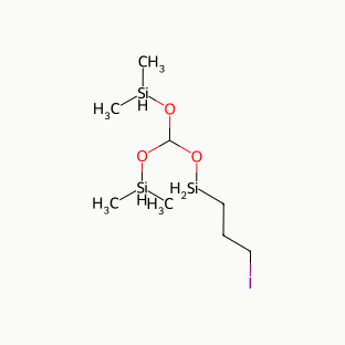 C[SiH](C)OC(O[SiH2]CCCI)O[SiH](C)C